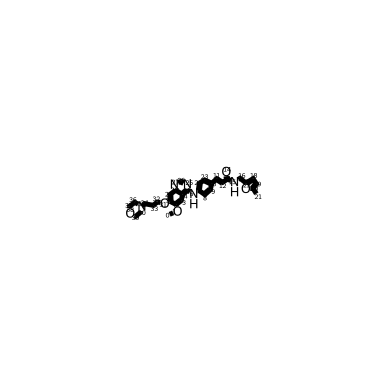 COc1cc2c(Nc3ccc(C=CC(=O)NCc4ccc(C)o4)cc3)ncnc2cc1OCCCN1CCOCC1